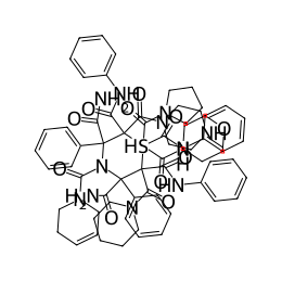 NC(=O)C1(c2ccccc2)N(C(=O)N2CC=CCC2)C(C(N)=O)(c2ccccc2)C(C(=O)Nc2ccccc2)(C(=O)N2CCNCC2)[SH](C(=O)Nc2ccccc2)(C(=O)N2CCCC2)(C(=O)N2CCOCC2)C1(C(=O)Nc1ccccc1)C(=O)N1CCCCC1